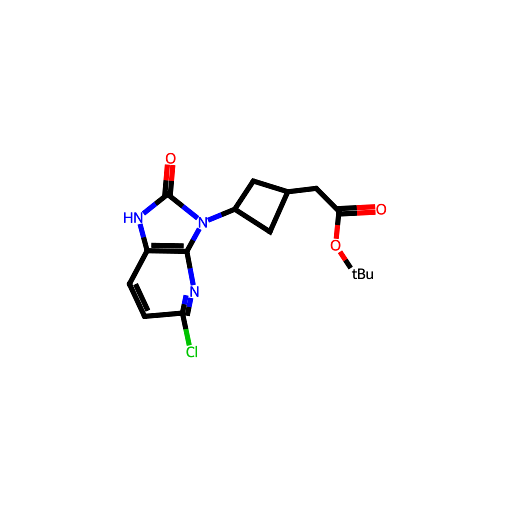 CC(C)(C)OC(=O)CC1CC(n2c(=O)[nH]c3ccc(Cl)nc32)C1